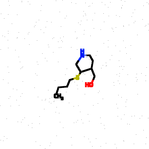 CCCCSC1CNCCC1CO